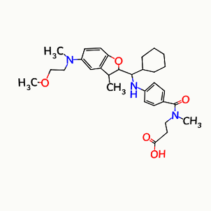 COCCN(C)c1ccc2c(c1)C(C)C(C(Nc1ccc(C(=O)N(C)CCC(=O)O)cc1)C1CCCCC1)O2